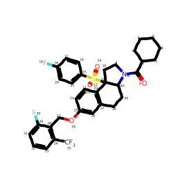 O=C(C1CCCCC1)N1CCC2(S(=O)(=O)c3ccc(F)cc3)c3ccc(OCc4c(F)cccc4C(F)(F)F)cc3CCC12